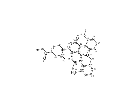 C=CC(=O)N1CCN(c2nc(=O)n(-c3c(C)ncnc3C(C)C)c3c4c(c(C)cc23)-c2c(P)cccc2CO4)[C@@H](C)C1